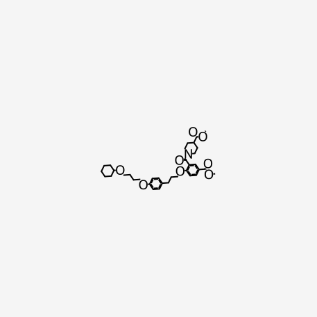 COC(=O)c1ccc(OCCCc2ccc(OCCCCOC3CCCCC3)cc2)c(C(=O)N2CCC(C(=O)OC)CC2)c1